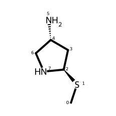 CS[C@@H]1C[C@@H](N)CN1